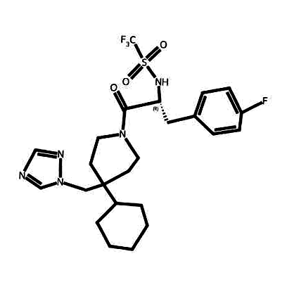 O=C([C@@H](Cc1ccc(F)cc1)NS(=O)(=O)C(F)(F)F)N1CCC(Cn2cncn2)(C2CCCCC2)CC1